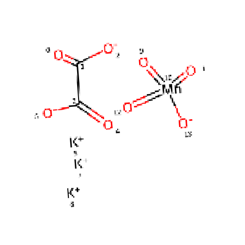 O=C([O-])C(=O)[O-].[K+].[K+].[K+].[O]=[Mn](=[O])(=[O])[O-]